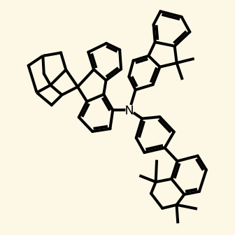 CC1(C)CCC(C)(C)c2c(-c3ccc(N(c4ccc5c(c4)C(C)(C)c4ccccc4-5)c4cccc5c4-c4ccccc4C54C5CC6CC7CC4C75C6)cc3)cccc21